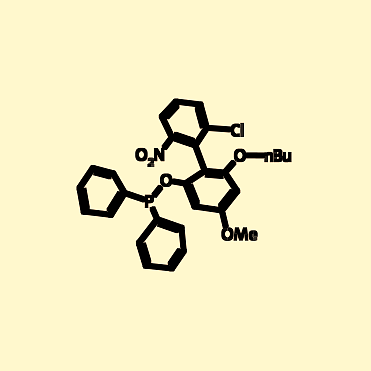 CCCCOc1cc(OC)cc(OP(c2ccccc2)c2ccccc2)c1-c1c(Cl)cccc1[N+](=O)[O-]